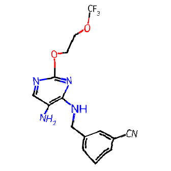 N#Cc1cccc(CNc2nc(OCCOC(F)(F)F)ncc2N)c1